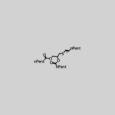 CCCCC/C=C/SCC(COC(=O)CCCCC)OC(=O)CCCCC